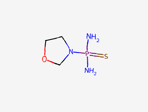 NP(N)(=S)N1CCOC1